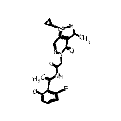 Cc1nn(C2CC2)c2cnn(CC(=O)NC(C)c3c(F)cccc3Cl)c(=O)c12